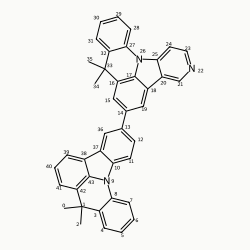 CC1(C)c2ccccc2-n2c3ccc(-c4cc5c6c(c4)c4cnccc4n6-c4ccccc4C5(C)C)cc3c3cccc1c32